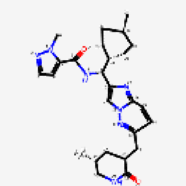 Cn1nccc1C(=O)N[C@H](c1cn2nc(CC3C[C@@H](C(F)(F)F)CNC3=O)ccc2n1)[C@H]1CC[C@H](C)CC1